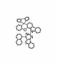 c1ccc2c(c1)Oc1c(ccc3c4ccccc4n(-c4nc(-c5cccc6ccccc56)c5sc6ccccc6c5n4)c13)C21c2ccccc2-c2ccccc21